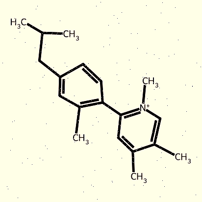 Cc1cc(-c2ccc(CC(C)C)cc2C)[n+](C)cc1C